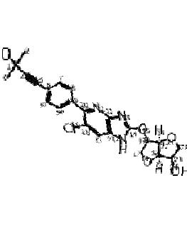 CC(C)(O)C#Cc1ccc(-c2nc3nc(O[C@@H]4CO[C@H]5[C@@H]4OC[C@H]5O)[nH]c3cc2Cl)cc1